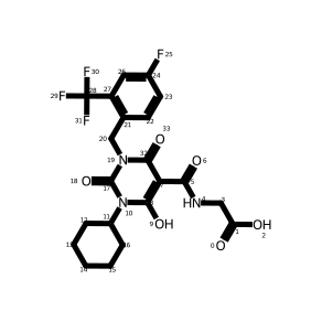 O=C(O)CNC(=O)c1c(O)n(C2CCCCC2)c(=O)n(Cc2ccc(F)cc2C(F)(F)F)c1=O